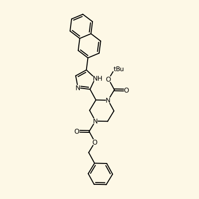 CC(C)(C)OC(=O)N1CCN(C(=O)OCc2ccccc2)CC1c1ncc(-c2ccc3ccccc3c2)[nH]1